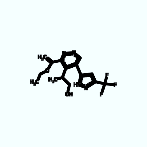 C=C(OCC)c1nncc(-c2cc(C(F)(F)F)n[nH]2)c1C(C)CO